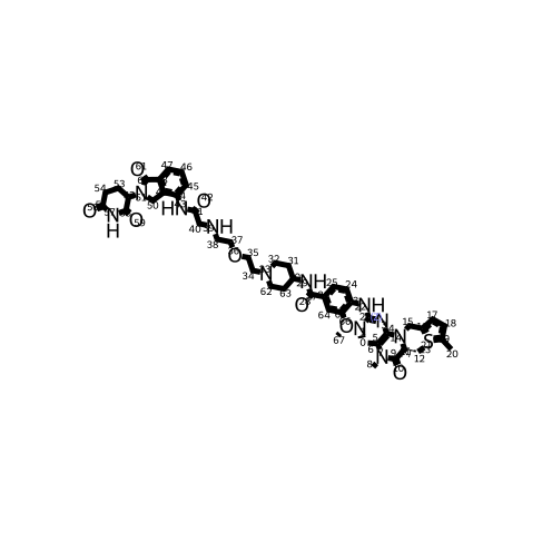 C=N/C(=N\C1=C(C)N(C)C(=O)[C@@H](CC)N1Cc1ccc(C)s1)Nc1ccc(C(=O)NC2CCN(CCOCCNCC(=O)Nc3cccc4c3CN(C3CCC(=O)NC3=O)C4=O)CC2)cc1OC